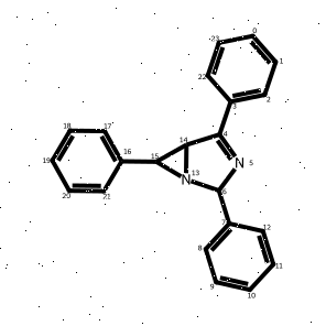 c1ccc(C2=NC(c3ccccc3)N3C2C3c2ccccc2)cc1